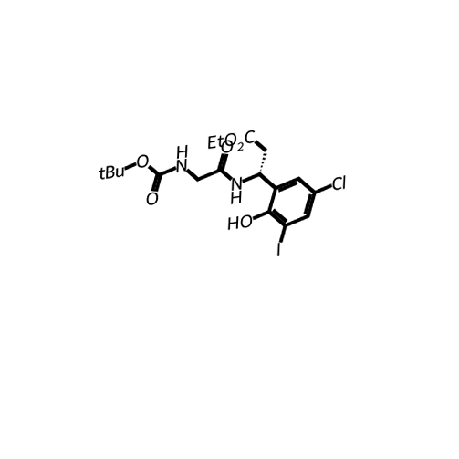 CCOC(=O)C[C@@H](NC(=O)CNC(=O)OC(C)(C)C)c1cc(Cl)cc(I)c1O